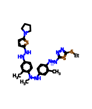 CCSc1nnc(/N=N/c2ccc(NN(C)c3ccc(NNc4ccc(N5CCCC5)s4)cc3C)cc2C)s1